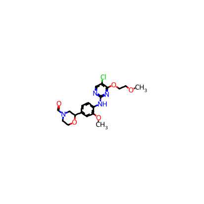 COCCOc1nc(Nc2ccc(C3CN(C=O)CCO3)cc2OC)ncc1Cl